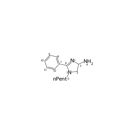 CCCCCN1CC(N)N=C1c1ccccc1